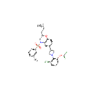 O=C(O)CCC1CN(S(=O)(=O)c2cccc(C(F)(F)F)c2)c2cc(C3CN(c4c(Cl)cccc4OC(F)F)C3)ccc2O1